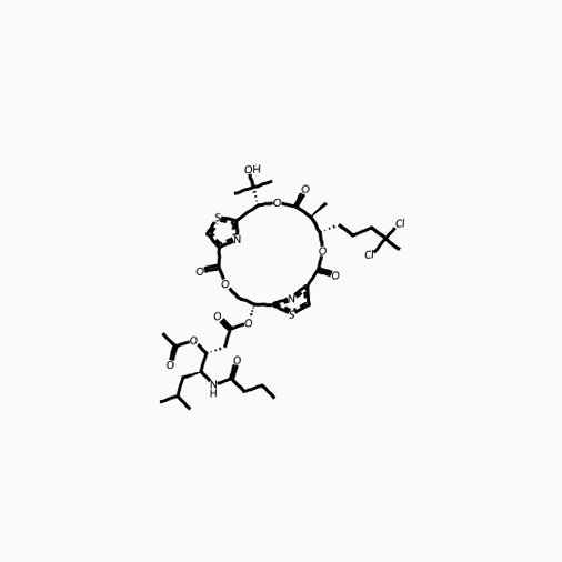 CCCC(=O)N[C@@H](CC(C)C)[C@@H](CC(=O)O[C@@H]1COC(=O)c2csc(n2)[C@H](C(C)(C)O)OC(=O)[C@@H](C)[C@H](CCCC(C)(Cl)Cl)OC(=O)c2csc1n2)OC(C)=O